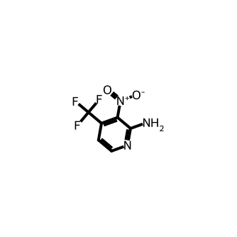 Nc1nccc(C(F)(F)F)c1[N+](=O)[O-]